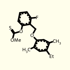 CCc1cc(C)c(OCc2c(F)cccc2OC(=S)OC)cc1C